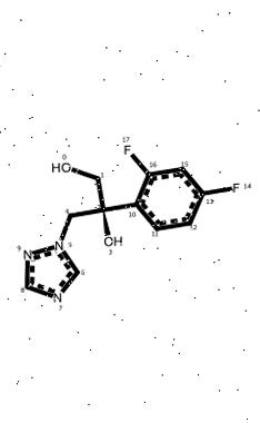 OC[C@@](O)(Cn1cncn1)c1ccc(F)cc1F